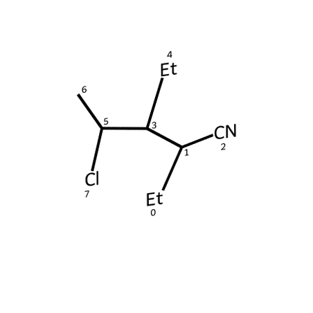 CCC(C#N)C(CC)C(C)Cl